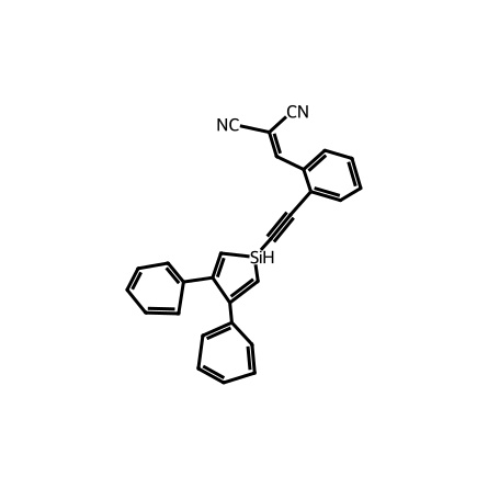 N#CC(C#N)=Cc1ccccc1C#C[SiH]1C=C(c2ccccc2)C(c2ccccc2)=C1